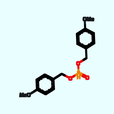 COc1ccc(CO[PH](=O)OCc2ccc(OC)cc2)cc1